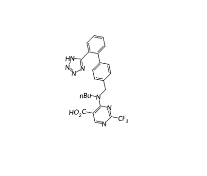 CCCCN(Cc1ccc(-c2ccccc2-c2nnn[nH]2)cc1)c1nc(C(F)(F)F)ncc1C(=O)O